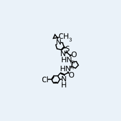 CC1(N2CCc3nc(C(=O)N[C@@H]4CCC[C@H]4NC(=O)C4=CC5C=C(Cl)C=CC5N4)sc3C2)CC1